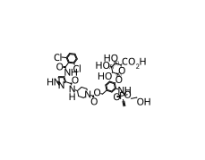 C#CP(=O)(Nc1cc(COC(=O)N2CCC(NC(=O)c3n[nH]cc3NC(=O)c3c(Cl)cccc3Cl)CC2)ccc1O[C@@H]1OC(C(=O)O)[C@@H](O)[C@H](O)C1O)OCCO